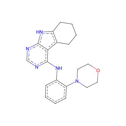 c1ccc(N2CCOCC2)c(Nc2ncnc3[nH]c4c(c23)CCCC4)c1